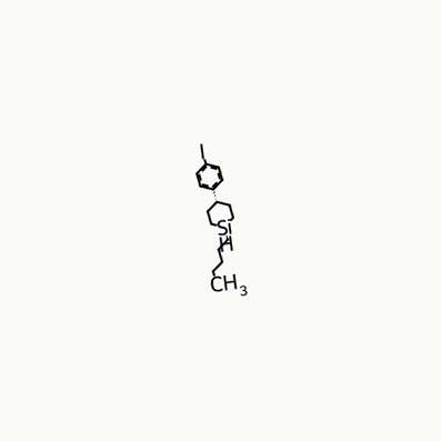 CCCCC[Si@H]1CC[C@H](c2ccc(I)cc2)CC1